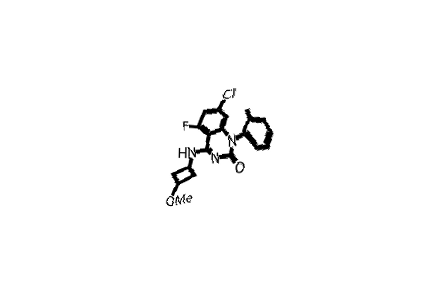 COC1CC(Nc2nc(=O)n(-c3ccccc3C)c3cc(Cl)cc(F)c23)C1